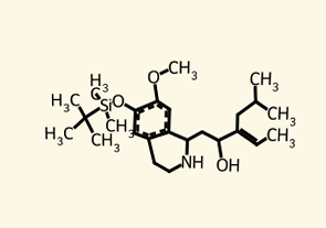 C/C=C(\CC(C)C)C(O)CC1NCCc2cc(O[Si](C)(C)C(C)(C)C)c(OC)cc21